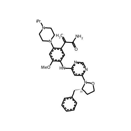 C=C(C(N)=O)c1cc(Nc2cc(N3OCC[C@@H]3Cc3ccccc3)ncn2)c(OC)cc1N1CCN(C(C)C)CC1